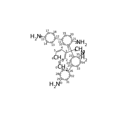 C=C/C=C(\C=C/C)C(C)(c1cc(-c2ccc(N)cc2)ccc1N)c1cc(-c2ccc(N)cc2)ccc1N